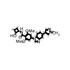 COc1cc(-n2cnc3cc(-c4cnn(C)c4)ccc32)cc(OC)c1C(=O)N[C@@H]1CC[C@H]1O